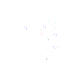 CN(C(=O)C1CC2(CCN2C)C1)[C@@H](c1ccc(NC2Cc3ccccc3C2(C)C)cn1)C(F)(F)F